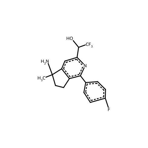 CC1(N)CCc2c1cc(C(O)C(F)(F)F)nc2-c1ccc(F)cc1